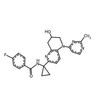 Cc1nccc(N2CC(O)Cc3nc(C4(NC(=O)c5ccc(F)cc5)CC4)ccc32)n1